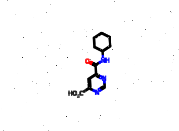 O=C(O)c1cc(C(=O)NC2CCCCC2)ncn1